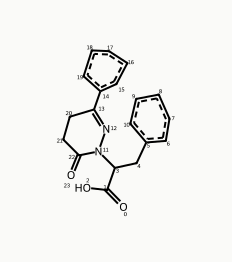 O=C(O)C(Cc1ccccc1)N1N=C(c2ccccc2)CCC1=O